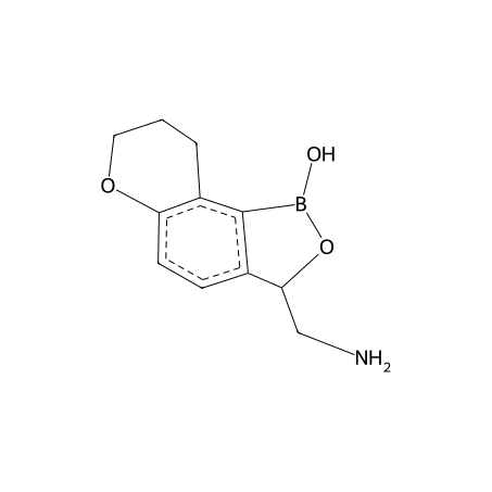 NCC1OB(O)c2c1ccc1c2CCCO1